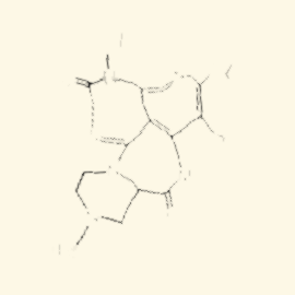 Cc1nc2c3c(nc(=O)n2C)N2CCN(C)CC2C(=O)Nc3c1F